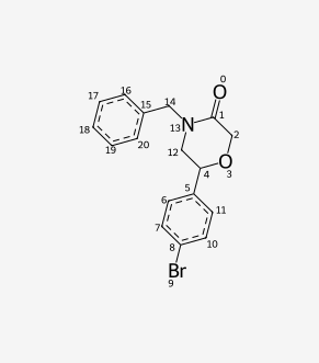 O=C1COC(c2ccc(Br)cc2)CN1Cc1ccccc1